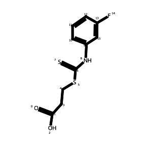 O=C(O)CCSC(=S)Nc1cccc(F)c1